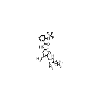 CN(CC(=O)NC(=O)c1ccccc1OC(F)(F)F)C(=O)CNC(C)(C)C